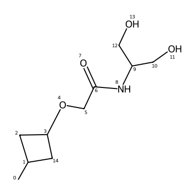 CC1CC(OCC(=O)NC(CO)CO)C1